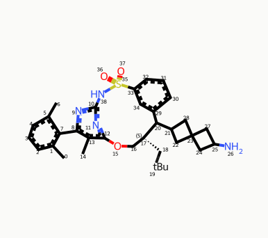 Cc1cccc(C)c1-c1nc2nc(c1C)OC[C@@H](CC(C)(C)C)C(C1CC3(CC(N)C3)C1)c1cccc(c1)S(=O)(=O)N2